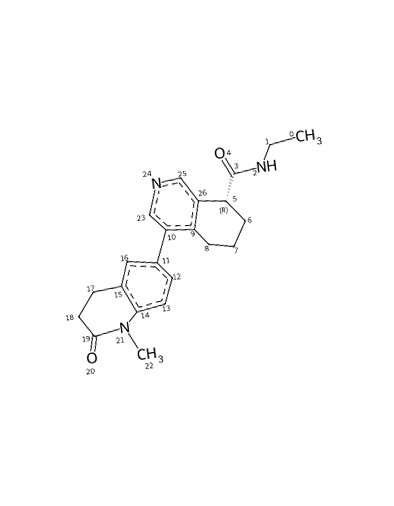 CCNC(=O)[C@@H]1CCCc2c(-c3ccc4c(c3)CCC(=O)N4C)cncc21